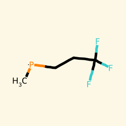 C[P]CCC(F)(F)F